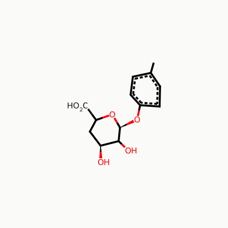 Cc1ccc(O[C@@H]2OC(C(=O)O)C[C@H](O)C2O)cc1